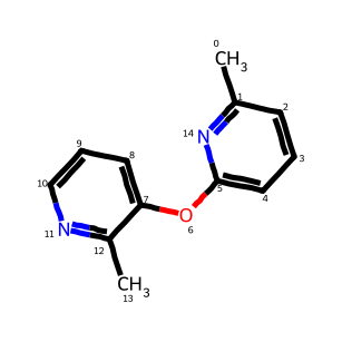 Cc1cccc(Oc2cccnc2C)n1